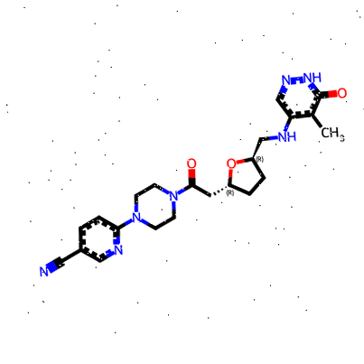 Cc1c(NC[C@H]2CC[C@H](CC(=O)N3CCN(c4ccc(C#N)cn4)CC3)O2)cn[nH]c1=O